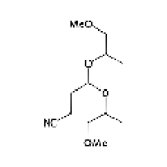 COCC(C)OC(CCC#N)OC(C)COC